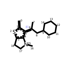 C=c1sc2c(/c1=C(/C)CC1CCCCC1)N(C)CC2